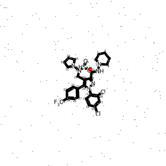 O=C(NN1CCCCC1)c1nn(-c2ccc(Cl)cc2Cl)c(-c2ccc(C(F)(F)F)cc2)c1CN(N1CCCC1)[SH](=O)=O